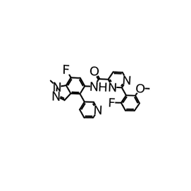 COc1cccc(F)c1-c1nccc(C(=O)Nc2cc(F)c3c(cnn3C)c2-c2cccnc2)n1